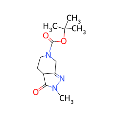 CN1N=C2CN(C(=O)OC(C)(C)C)CCC2C1=O